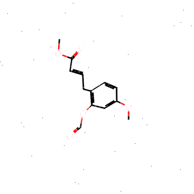 COC(=O)C=CCc1ccc(OC)cc1OC=O